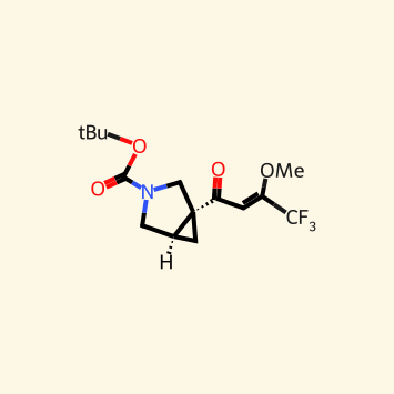 CO/C(=C\C(=O)[C@]12C[C@H]1CN(C(=O)OC(C)(C)C)C2)C(F)(F)F